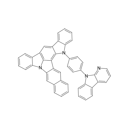 c1ccc2cc3c(cc2c1)c1c2c(cc4c5ccccc5n3c41)c1ccccc1n2-c1ccc(-n2c3ccccc3c3cccnc32)cc1